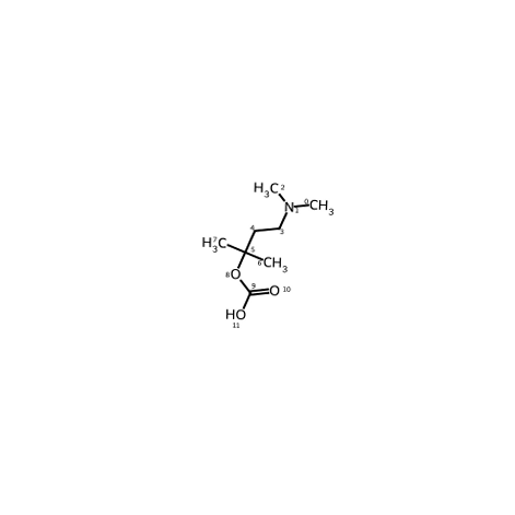 CN(C)CCC(C)(C)OC(=O)O